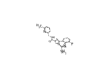 Cc1cccc(CNC(=O)c2cn3c(N)nc4c(F)cccc4c3n2)n1